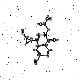 O=C(O)Cn1nc([C@H]2C[C@H]2F)c2cc(Br)ccc2c1=O